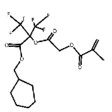 C=C(C)C(=O)OCC(=O)OC(C(=O)OCC1CCCCC1)(C(F)(F)F)C(F)(F)F